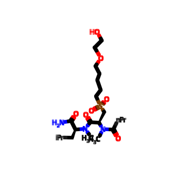 CCCC(=O)N(C)[C@H](CS(=O)(=O)CCCCCOCCO)C(=O)N(C)[C@@H](CC(C)C)C(N)=O